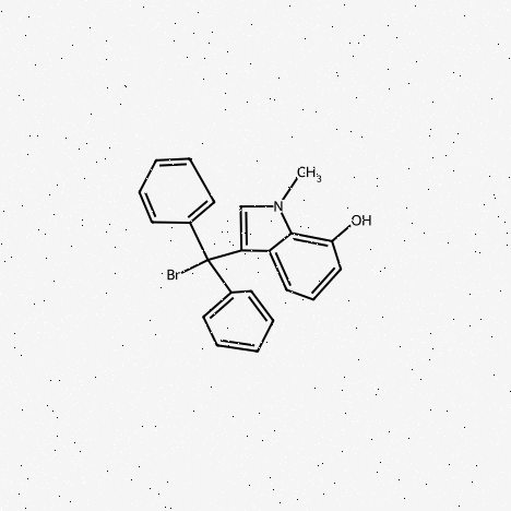 Cn1cc(C(Br)(c2ccccc2)c2ccccc2)c2cccc(O)c21